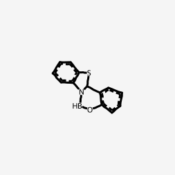 B1Oc2ccccc2C2Sc3ccccc3N12